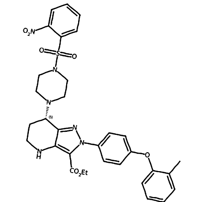 CCOC(=O)c1c2c(nn1-c1ccc(Oc3ccccc3C)cc1)[C@@H](N1CCN(S(=O)(=O)c3ccccc3[N+](=O)[O-])CC1)CCN2